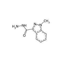 Cn1nc(C(=O)NN)c2ccccc21